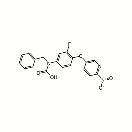 O=C(O)N(Cc1ccccc1)c1ccc(Oc2ccc([N+](=O)[O-])nc2)c(F)c1